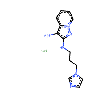 Cl.Nc1c(NCCCn2ccnc2)nn2ccccc12